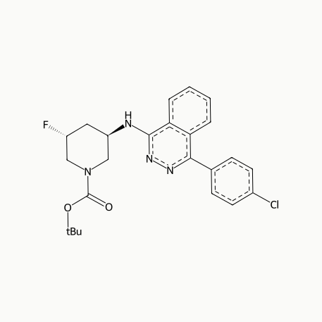 CC(C)(C)OC(=O)N1C[C@H](F)C[C@@H](Nc2nnc(-c3ccc(Cl)cc3)c3ccccc23)C1